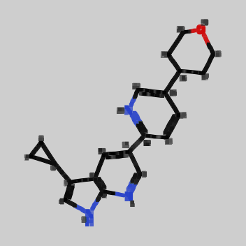 c1nc2[nH]cc(C3CC3)c2cc1-c1ccc(C2CCOCC2)cn1